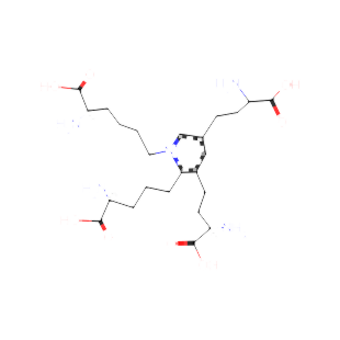 NC(CCc1cc(CC[C@H](N)C(=O)O)c(CCC[C@H](N)C(=O)O)[n+](CCCC[C@H](N)C(=O)O)c1)C(=O)O